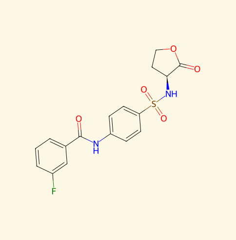 O=C(Nc1ccc(S(=O)(=O)N[C@H]2CCOC2=O)cc1)c1cccc(F)c1